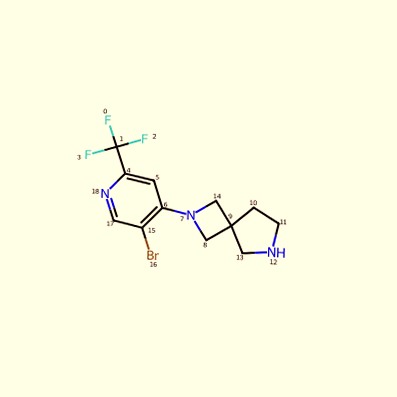 FC(F)(F)c1cc(N2CC3(CCNC3)C2)c(Br)cn1